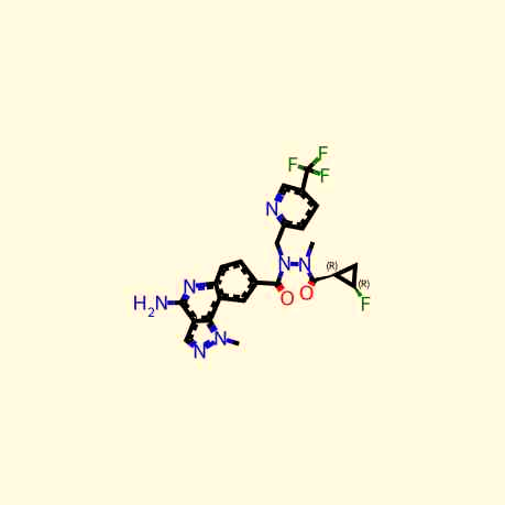 CN(C(=O)[C@H]1C[C@H]1F)N(Cc1ccc(C(F)(F)F)cn1)C(=O)c1ccc2nc(N)c3cnn(C)c3c2c1